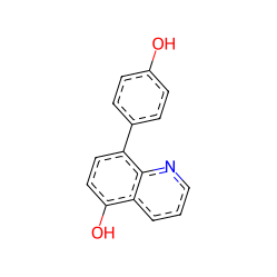 Oc1ccc(-c2ccc(O)c3cccnc23)cc1